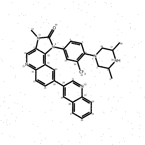 CC1CN(c2ccc(-n3c(=O)n(C)c4cnc5ccc(-c6cnc7ccccc7c6)cc5c43)cc2C(F)(F)F)CC(C)N1